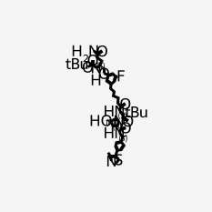 Cc1ncsc1-c1ccc([C@H](C)NC(=O)[C@@H]2C[C@@H](O)CN2C(=O)[C@@H](NC(=O)CCCCCc2cc(F)cc(OC[C@H](CCC(N)=O)NC(=O)OC(C)(C)C)c2)C(C)(C)C)cc1